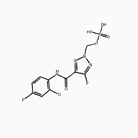 O=C(Nc1ccc(F)cc1Cl)c1nn(COP(=O)(O)O)nc1F